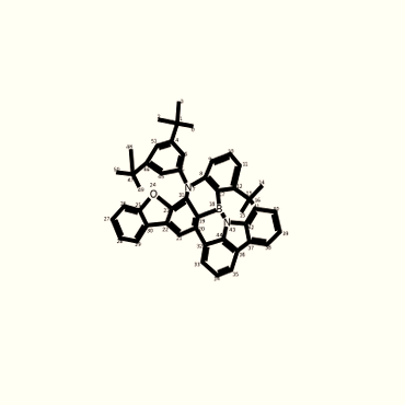 CC(C)(C)c1cc(N2c3cccc(C(C)(C)C)c3B3c4c(cc5c(oc6ccccc65)c42)-c2cccc4c5ccccc5n3c24)cc(C(C)(C)C)c1